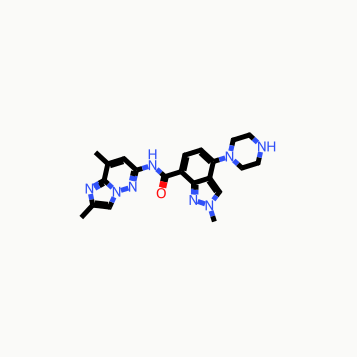 Cc1cn2nc(NC(=O)c3ccc(N4CCNCC4)c4cn(C)nc34)cc(C)c2n1